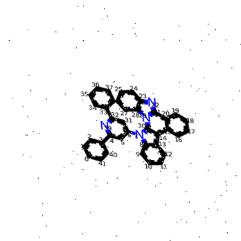 c1ccc(-c2cc(-n3c4ccccc4c4c5ccccc5c5nc6ccccc6n5c43)cc(-c3ccccc3)n2)cc1